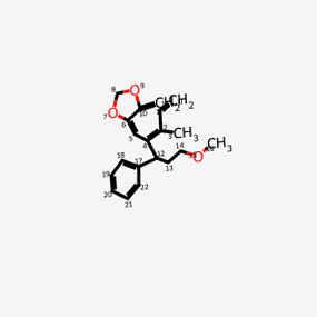 C=C/C(C)=C(\C=C1\OCOC1=C)C(CCOC)c1ccccc1